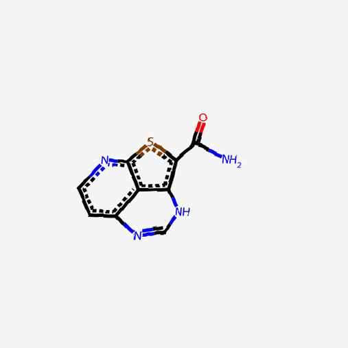 NC(=O)c1sc2nccc3c2c1NC=N3